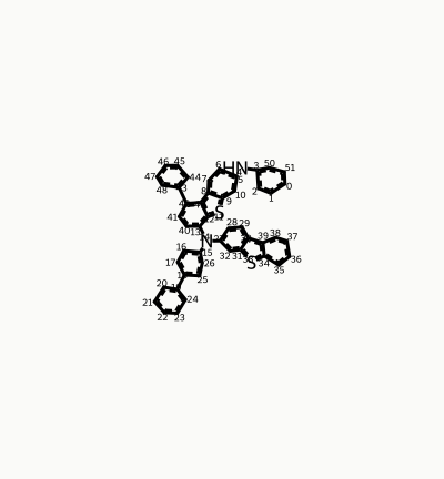 c1ccc(Nc2ccc3c(c2)sc2c(N(c4ccc(-c5ccccc5)cc4)c4ccc5c(c4)sc4ccccc45)ccc(-c4ccccc4)c23)cc1